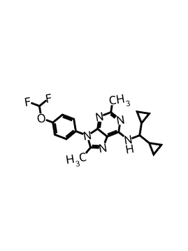 Cc1nc(NC(C2CC2)C2CC2)c2nc(C)n(-c3ccc(OC(F)F)cc3)c2n1